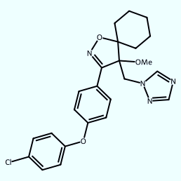 COC1(Cn2cncn2)C(c2ccc(Oc3ccc(Cl)cc3)cc2)=NOC12CCCCC2